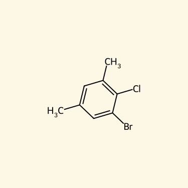 Cc1cc(C)c(Cl)c(Br)c1